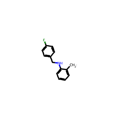 [CH2]c1ccccc1NCc1ccc(F)cc1